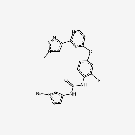 Cn1cc(-c2cc(Oc3ccc(NC(=O)Nc4cnn(C(C)(C)C)c4)c(F)c3)ccn2)nn1